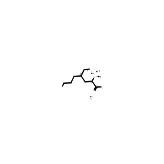 CCCCC(CC)CC(C(C)=C=O)[Si](C)(C)C